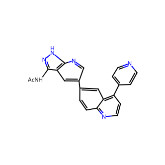 CC(=O)Nc1n[nH]c2ncc(-c3ccc4nccc(-c5ccncc5)c4c3)cc12